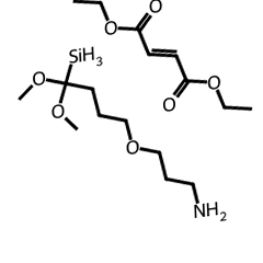 CCOC(=O)C=CC(=O)OCC.COC([SiH3])(CCCOCCCN)OC